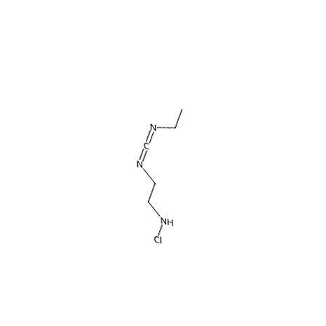 CCN=C=NCCNCl